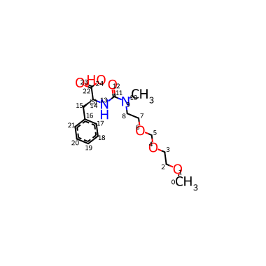 COCCOCOCCN(C)C(=O)N[C@@H](Cc1ccccc1)C(=O)O